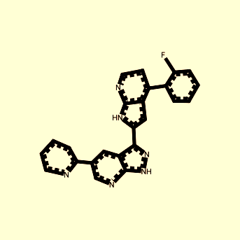 Fc1ccccc1-c1ccnc2[nH]c(-c3n[nH]c4ncc(-c5ccccn5)cc34)cc12